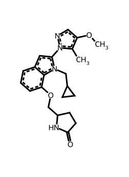 COc1cnn(-c2cc3cccc(OCC4CCC(=O)N4)c3n2CC2CC2)c1C